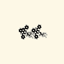 CN(C)C(=O)CN1C[C@H](C(=O)c2ccccc2)C(c2cccc(O)c2)[C@@H](C(=O)c2ccccc2)C1.CN(C)C(=O)CN1C[C@H](C(=O)c2ccccc2)C(c2ccccc2O)[C@@H](C(=O)c2ccccc2)C1